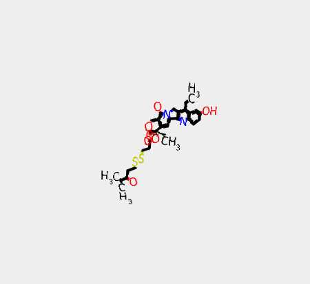 CCc1c2c(nc3ccc(O)cc13)-c1cc3c(c(=O)n1C2)COC(=O)[C@@]3(CC)OC(=O)CCSSCCC(=O)C(C)C